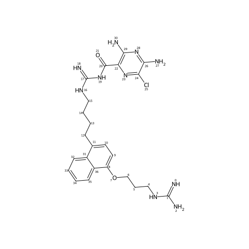 N=C(N)NCCCOc1ccc(CCCCNC(=N)NC(=O)c2nc(Cl)c(N)nc2N)c2ccccc12